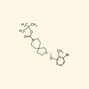 Cc1c(Br)cccc1OC[C@@H]1CCC2(CCN(C(=O)OC(C)(C)C)CC2)C1